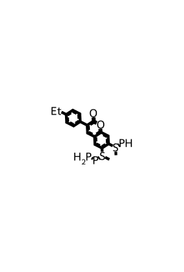 CCc1ccc(-c2cc3cc(/S(C)=P\P)c(S(C)=P)cc3oc2=O)cc1